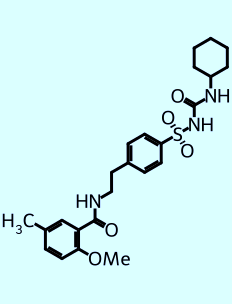 COc1ccc(C)cc1C(=O)NCCc1ccc(S(=O)(=O)NC(=O)NC2CCCCC2)cc1